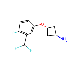 N[C@H]1C[C@H](Oc2ccc(F)c(C(F)F)c2)C1